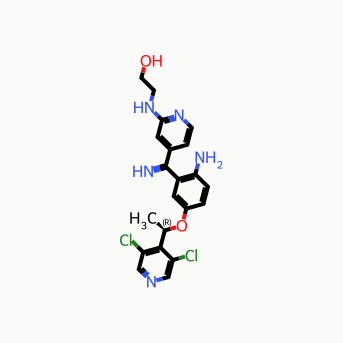 C[C@@H](Oc1ccc(N)c(C(=N)c2ccnc(NCCO)c2)c1)c1c(Cl)cncc1Cl